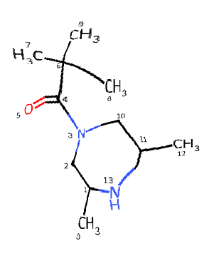 CC1CN(C(=O)C(C)(C)C)CC(C)N1